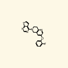 Fc1ccccc1Oc1cnc2c(c1)CN(c1ncnc3sccc13)CC2